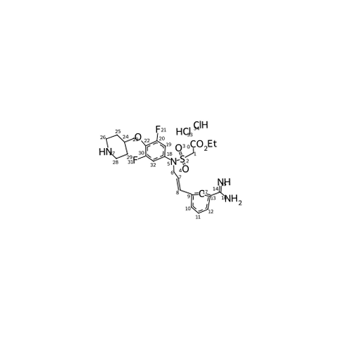 CCOC(=O)CS(=O)(=O)N(C/C=C/c1cccc(C(=N)N)c1)c1cc(F)c(OC2CCNCC2)c(F)c1.Cl.Cl